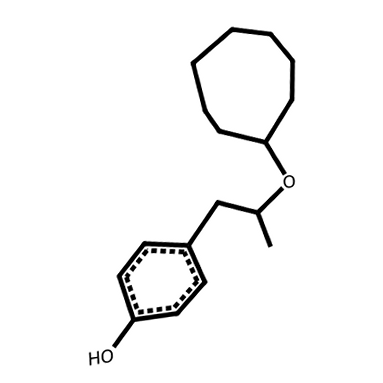 CC(Cc1ccc(O)cc1)OC1CCCCCCC1